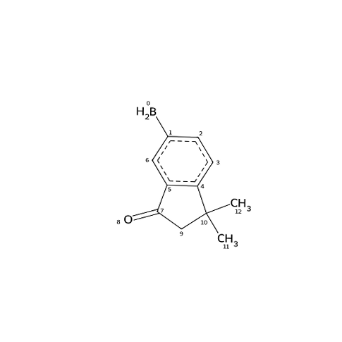 Bc1ccc2c(c1)C(=O)CC2(C)C